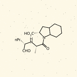 CCC[C@@H](C=O)N[C@@H](C)C(=O)N1C2CCCCC2C[C@H]1C(=O)O